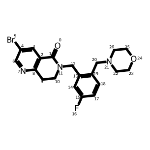 O=C1c2cc(Br)cnc2CCN1Cc1cc(F)ccc1CN1CCOCC1